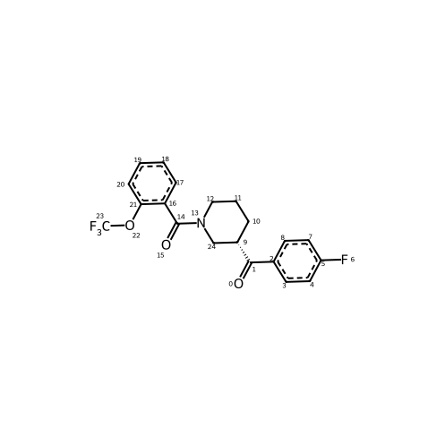 O=C(c1ccc(F)cc1)[C@H]1CCCN(C(=O)c2ccccc2OC(F)(F)F)C1